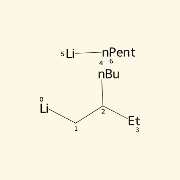 [Li][CH2]C(CC)CCCC.[Li][CH2]CCCC